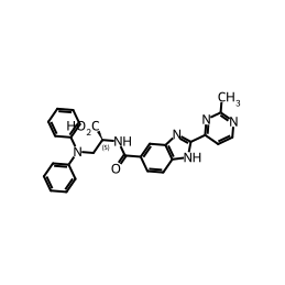 Cc1nccc(-c2nc3cc(C(=O)N[C@@H](CN(c4ccccc4)c4ccccc4)C(=O)O)ccc3[nH]2)n1